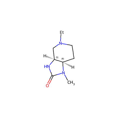 CCN1CC[C@@H]2[C@H](C1)NC(=O)N2C